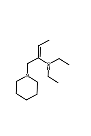 CC=C(CN1CCCCC1)[SiH](CC)CC